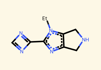 CCn1c(C2=NC=N2)nc2c1CNC2